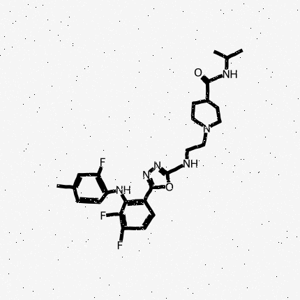 Cc1ccc(Nc2c(-c3nnc(NCCN4CCC(C(=O)NC(C)C)CC4)o3)ccc(F)c2F)c(F)c1